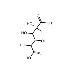 O=C(O)C(O)C(O)C(O)[C@](O)(F)C(=O)O